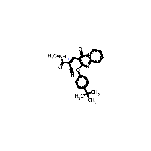 CNC(=O)/C(C#N)=C/c1c(Oc2ccc(C(C)(C)C)cc2)nc2ccccn2c1=O